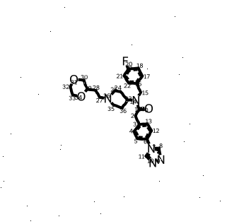 O=C(Cc1ccc(-n2cnnc2)cc1)N(Cc1ccc(F)cc1)C1CCN(CCC2COCCO2)CC1